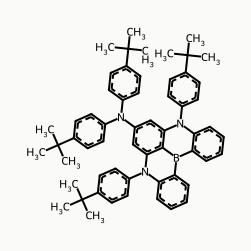 CC(C)(C)c1ccc(N(c2ccc(C(C)(C)C)cc2)c2cc3c4c(c2)N(c2ccc(C(C)(C)C)cc2)c2ccccc2B4c2ccccc2N3c2ccc(C(C)(C)C)cc2)cc1